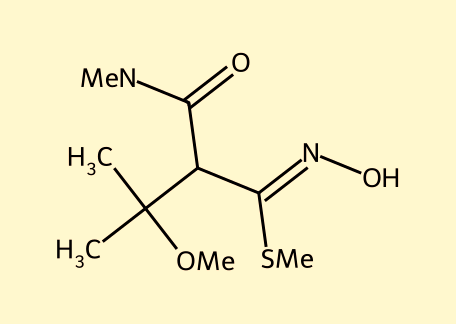 CNC(=O)C(C(=NO)SC)C(C)(C)OC